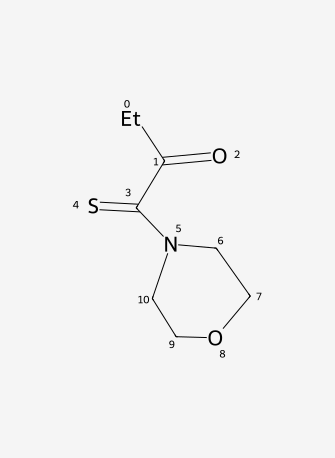 CCC(=O)C(=S)N1CCOCC1